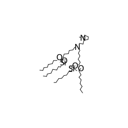 CCCCCCCCOC(CCCCCN(CCCCCC(OCCCCCCCC)O[Si](C)(C)CCCCCCCC)CCC1CCCN1C)O[Si](C)(C)CCCCCCCC